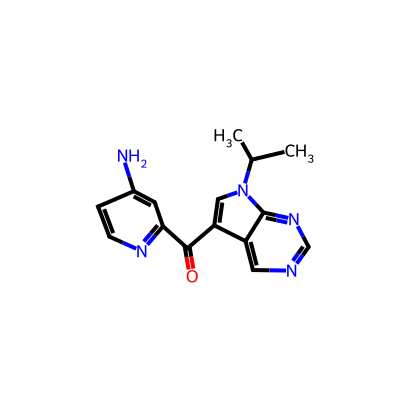 CC(C)n1cc(C(=O)c2cc(N)ccn2)c2cncnc21